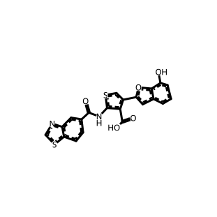 O=C(Nc1scc(-c2cc3cccc(O)c3o2)c1C(=O)O)c1ccc2scnc2c1